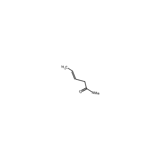 CC=CCC(=O)NC